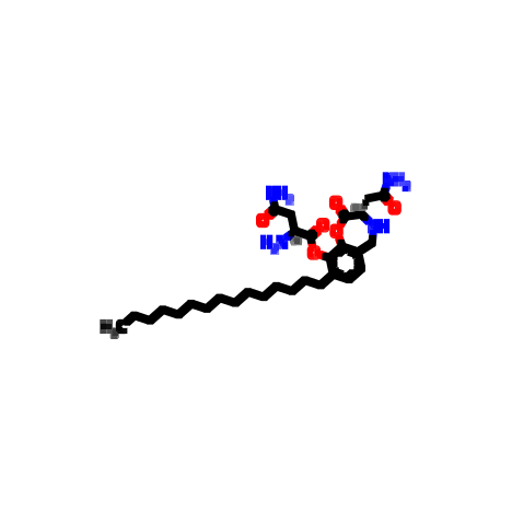 CCCCCCCCCCCCCCCc1ccc2c(c1OC(=O)[C@@H](N)CC(N)=O)OC(=O)[C@H](CC(N)=O)NC2